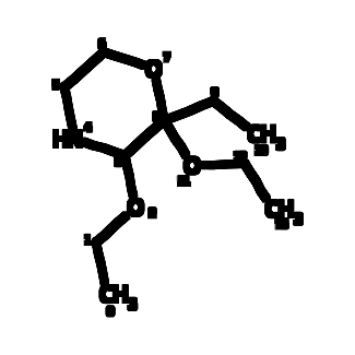 CCOC1NCCOC1(CC)OCC